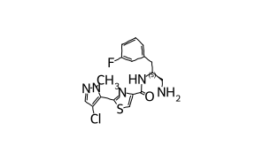 Cn1ncc(Cl)c1-c1nc(C(=O)N[C@H](CN)Cc2cccc(F)c2)cs1